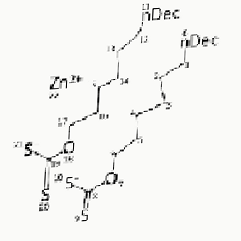 CCCCCCCCCCCCCCCCOC(=S)[S-].CCCCCCCCCCCCCCCCOC(=S)[S-].[Zn+2]